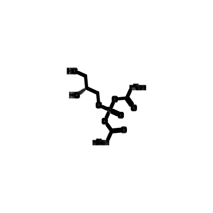 CCCCCCCCCC(=O)OP(=O)(OC[C@H](O)CO)OC(=O)CCCCCCCCC